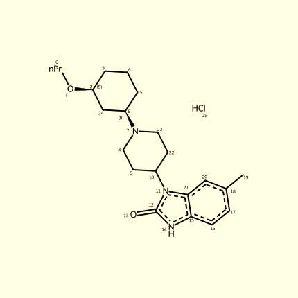 CCCO[C@H]1CCC[C@@H](N2CCC(n3c(=O)[nH]c4ccc(C)cc43)CC2)C1.Cl